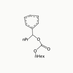 CCCCCCOC(=O)OC(CCC)c1ccccc1